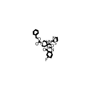 O=C(OCc1ccccc1)N1CCC(C(=O)Nc2nccs2)(n2cnc3ccc(F)cc3c2=O)CC1